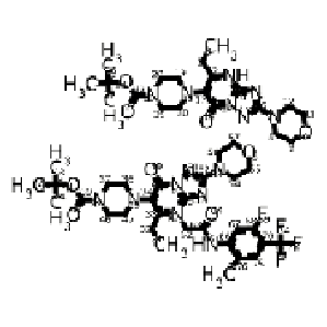 CCc1[nH]c2nc(N3CCOCC3)nn2c(=O)c1N1CCN(C(=O)OC(C)(C)C)CC1.CCc1c(N2CCN(C(=O)OC(C)(C)C)CC2)c(=O)n2nc(N3CCOCC3)nc2n1CC(=O)Nc1cc(F)c(C(F)(F)F)cc1C